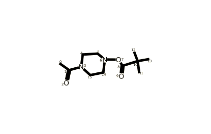 CC(=O)N1CCN(OC(=O)C(C)(C)C)CC1